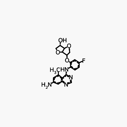 Cc1cc(N)cc2ncnc(Nc3ccc(F)cc3OC3COC4C3OC[C@H]4O)c12